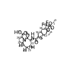 CCOP(=O)(OCC)C(F)(F)c1ccc2sc(C(=O)N[C@H]3C[C@H]4C[C@H]4C[C@H]4CC[C@@H](C(=O)O)N4C3=O)cc2c1